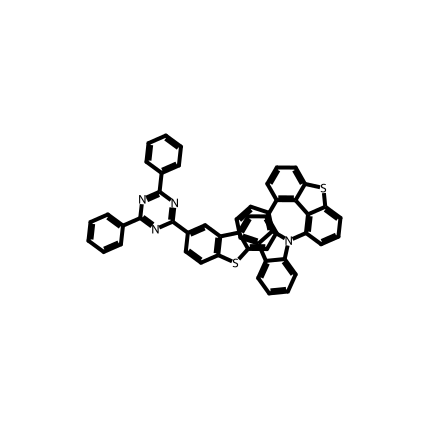 c1ccc(-c2nc(-c3ccccc3)nc(-c3ccc4sc5ccc(-c6cccc7sc8cccc(-n9c%10ccccc%10c%10ccccc%109)c8c67)cc5c4c3)n2)cc1